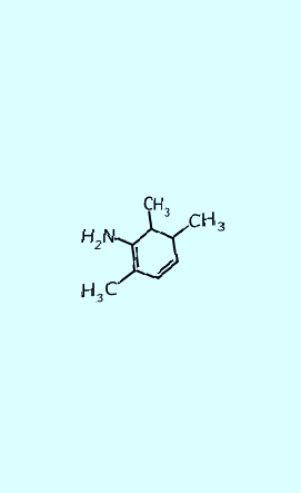 CC1=C(N)C(C)C(C)C=C1